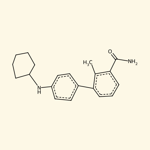 Cc1c(C(N)=O)cccc1-c1ccc(NC2CCCCC2)cc1